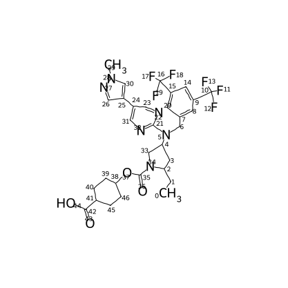 CCC1CC(N(Cc2cc(C(F)(F)F)cc(C(F)(F)F)c2)c2ncc(-c3cnn(C)c3)cn2)CN1C(=O)OC1CCC(C(=O)O)CC1